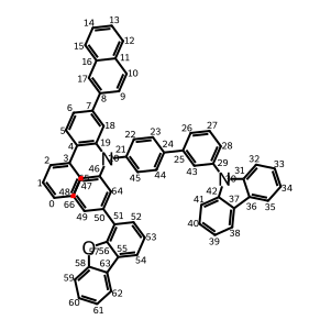 c1ccc(-c2ccc(-c3ccc4ccccc4c3)cc2N(c2ccc(-c3cccc(-n4c5ccccc5c5ccccc54)c3)cc2)c2cccc(-c3cccc4c3oc3ccccc34)c2)cc1